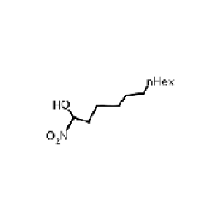 CCCCCCCCCCCC(O)[N+](=O)[O-]